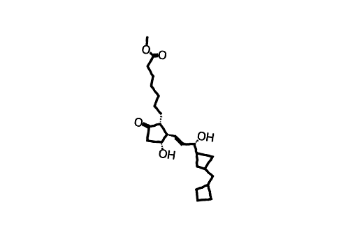 COC(=O)CCCCCC[C@H]1C(=O)C[C@@H](O)[C@@H]1/C=C/[C@H](O)C1CC(CC2CCC2)C1